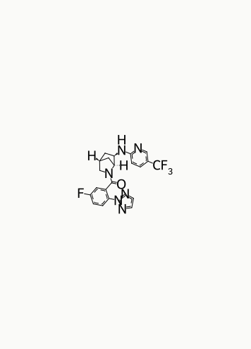 O=C(c1cc(F)ccc1-n1nccn1)N1C[C@@H]2C[C@@H](Nc3ccc(C(F)(F)F)cn3)[C@@H]1C2